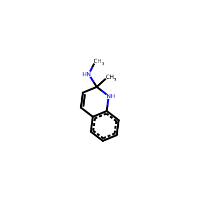 CNC1(C)C=Cc2ccccc2N1